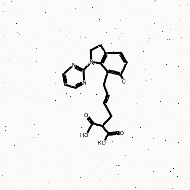 O=C(O)C(CC=CCc1c(Cl)ccc2c1N(c1ncccn1)CC2)C(=O)O